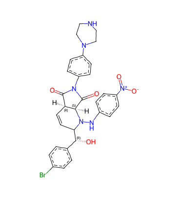 O=C1[C@@H]2[C@@H](C=CC([C@H](O)c3ccc(Br)cc3)N2Nc2ccc([N+](=O)[O-])cc2)C(=O)N1c1ccc(N2CCNCC2)cc1